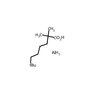 CC(C)(C)CCCCC(C)(C)C(=O)O.[AlH3]